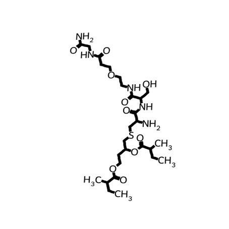 CCC(C)C(=O)OCCC(CSCC(N)C(=O)NC(CO)C(=O)NCCOCCC(=O)NCC(N)=O)OC(=O)C(C)CC